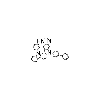 C1=CC2C(c3cc4c(cc3N2c2ccc(-c3ccccc3)cc2)N=CCN4)c2c1c1ccccc1n2-c1ccccc1